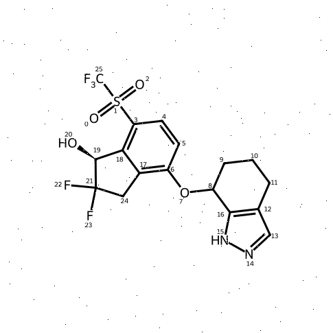 O=S(=O)(c1ccc(OC2CCCc3cn[nH]c32)c2c1[C@H](O)C(F)(F)C2)C(F)(F)F